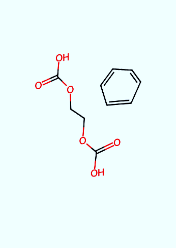 O=C(O)OCCOC(=O)O.c1ccccc1